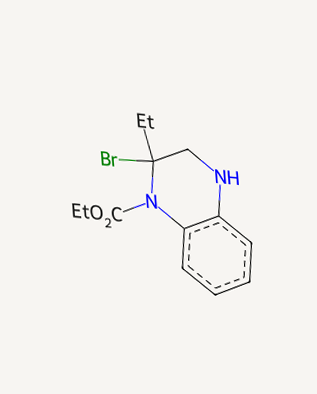 CCOC(=O)N1c2ccccc2NCC1(Br)CC